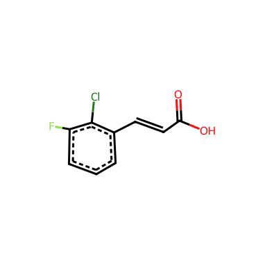 O=C(O)/C=C/c1cccc(F)c1Cl